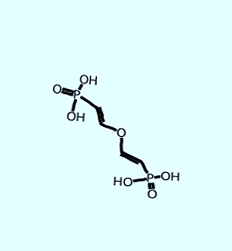 O=P(O)(O)C=COC=CP(=O)(O)O